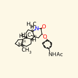 CC(=O)Nc1ccc(OC2C[C@]3(C)[C@H]4CC[C@]5(C)CCC[C@H]5[C@@H]4CC[C@H]3N(C)C2=O)cc1